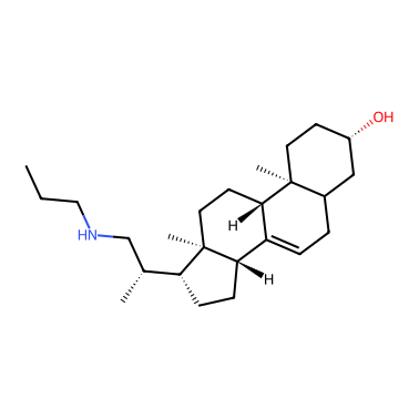 CCCNC[C@@H](C)[C@H]1CC[C@H]2C3=CCC4C[C@@H](O)CC[C@]4(C)[C@H]3CC[C@]12C